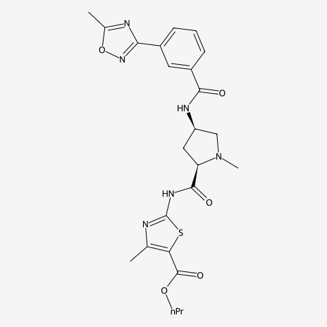 CCCOC(=O)c1sc(NC(=O)[C@H]2C[C@@H](NC(=O)c3cccc(-c4noc(C)n4)c3)CN2C)nc1C